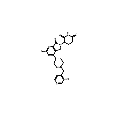 O=C1CCC(N2Cc3c(cc(F)cc3C3CCN(Cc4ccncc4F)CC3)C2=O)C(=O)N1